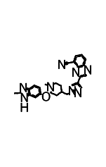 Cc1nc2ccc(OC3CC(Cn4cc(-c5cnc6cccc(C#N)c6n5)cn4)CCN3C)cc2[nH]1